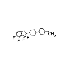 C=CC1CCC(C2CCC(C3Cc4ccc(F)c(F)c4C3(F)F)CC2)CC1